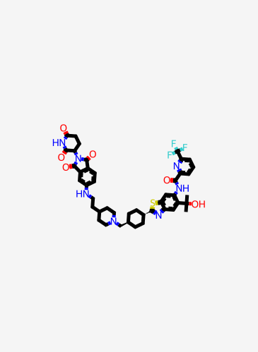 CC(C)(O)c1cc2nc([C@H]3CC[C@H](CN4CCC(CCNc5ccc6c(c5)C(=O)N(C5CCC(=O)NC5=O)C6=O)CC4)CC3)sc2cc1NC(=O)c1cccc(C(F)(F)F)n1